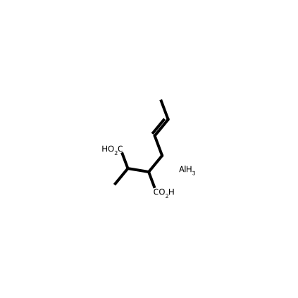 CC=CCC(C(=O)O)C(C)C(=O)O.[AlH3]